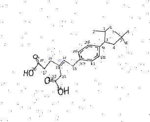 CC(C)C(CC(C)(C)C)c1ccc(C/C=C(/CCC(=O)O)CC(=O)O)cc1